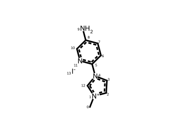 C[n+]1ccn(-c2ccc(N)cn2)c1.[I-]